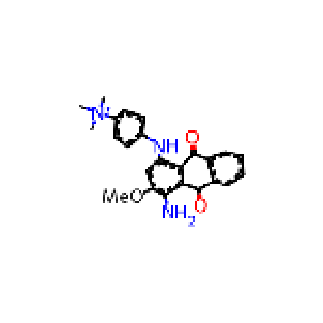 COc1cc(Nc2ccc([N+](C)(C)C)cc2)c2c(c1N)C(=O)c1ccccc1C2=O